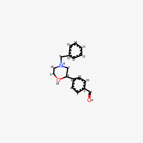 O=Cc1ccc(C2CN(Cc3ccccc3)CCO2)cc1